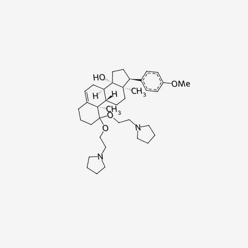 COc1ccc([C@@H]2CC[C@]3(O)[C@@H]4CC=C5CCCC(OCCN6CCCC6)(OCCN6CCCC6)[C@]5(C)[C@H]4CC[C@]23C)cc1